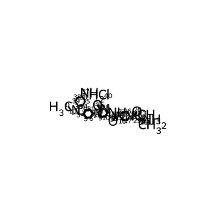 CCN(Cc1ccc(-n2ccc(NC(=O)N3CCN(C(=O)CC(C)(C)N)CC3)nc2=O)cc1)[C@H]1CC[C@H](N)CC1.Cl